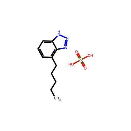 CCCCCc1cccc2[nH]nnc12.O=S(=O)(O)O